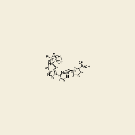 CC(O)(c1cn2c(-c3ccnc(N[C@@H]4CCCN(C(=O)O)C4)n3)cnc2cn1)C(F)(F)F